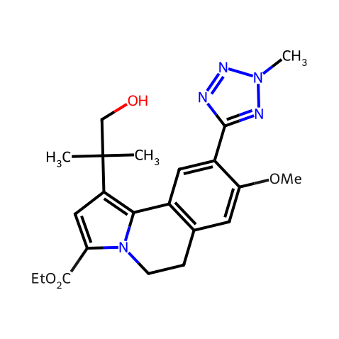 CCOC(=O)c1cc(C(C)(C)CO)c2n1CCc1cc(OC)c(-c3nnn(C)n3)cc1-2